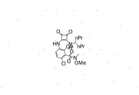 CCCC(CCC)Nc1c(Nc2ccc(Cl)c(S(=O)(=O)N(C)OC)c2O)c(=O)c1=O